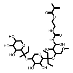 C=C(C)C(=O)OCCNC(=O)NC(O)C(O)C(COC)OC(CC)(CC)C1OCC(OC(C)(CC)C2OCC(O)C(O)C2O)C(O)C1O